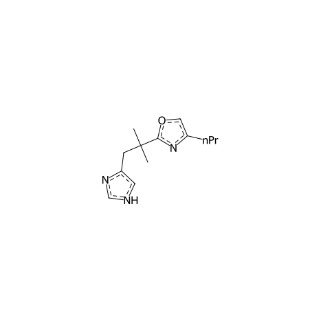 CCCc1coc(C(C)(C)Cc2c[nH]cn2)n1